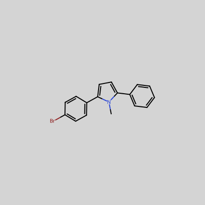 Cn1c(-c2ccccc2)ccc1-c1ccc(Br)cc1